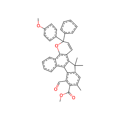 COC(=O)c1c(C)cc2c(c1C=O)-c1c(c3c(c4ccccc14)OC(c1ccccc1)(c1ccc(OC)cc1)C=C3)C2(C)C